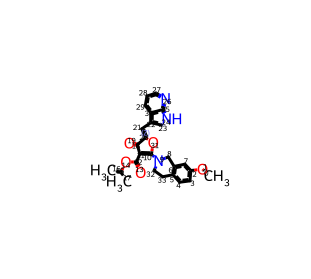 COc1ccc2c(c1)CN(C1=C(C(=O)OC(C)C)C(=O)/C(=C/c3c[nH]c4ncccc34)O1)CC2